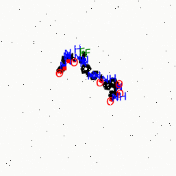 O=C1CCC(c2noc3ccc4c(NC(=O)CN5CCN(CC6CCC(n7cc(NC(=O)c8cnn9ccc(N%10CC%11CC%10CO%11)nc89)c(C(F)F)n7)CC6)CC5)cccc4c23)C(=O)N1